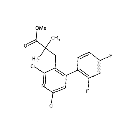 COC(=O)C(C)(C)Cc1c(-c2ccc(F)cc2F)cc(Cl)nc1Cl